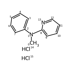 CN(c1ccccc1)c1ccccn1.Cl.Cl